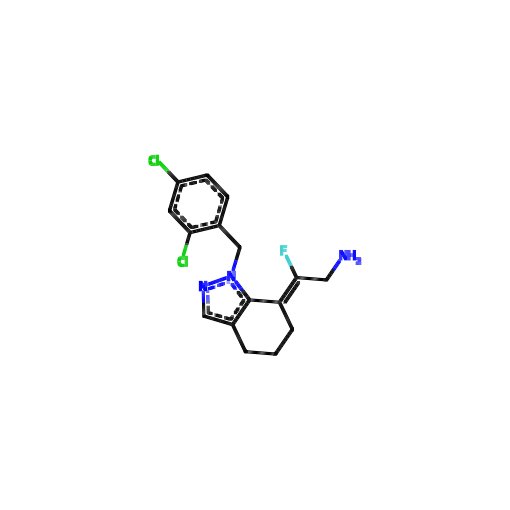 NC/C(F)=C1\CCCc2cnn(Cc3ccc(Cl)cc3Cl)c21